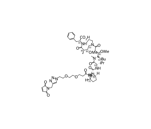 CC[C@H](C)[C@@H]([C@@H](CC(=O)N1CCC[C@H]1[C@H](OC)[C@@H](C)C(=O)N[C@@H](Cc1ccccc1)C(=O)O)OC)N(C)C(=O)[C@@H](NC(=O)[C@@H]1[C@H]2CC[C@@H]([C@H]2C)N1C(=O)CCOCCOCCn1cc(CN2C(=O)C=CC2=O)nn1)C(C)C